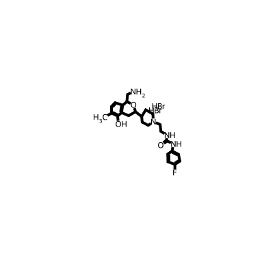 Br.Br.Cc1ccc2c(c1O)CC(C1CCN(CCNC(=O)Nc3ccc(F)cc3)CC1)OC2CN